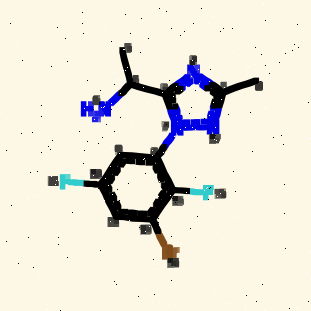 Cc1nc(C(C)N)n(-c2cc(F)cc(Br)c2F)n1